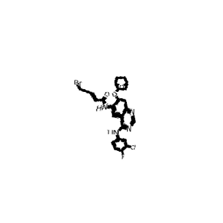 O=C(C=CCBr)Nc1cc2c(Nc3ccc(F)c(Cl)c3)ncnc2cc1OC1CC2CCC1O2